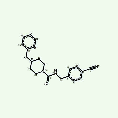 N#Cc1ccc(CNC(=O)N2CCC(Cc3ccccc3)CC2)cc1